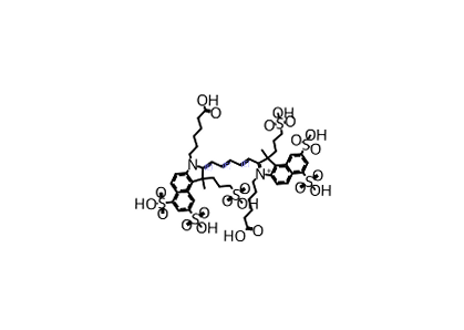 CC1(CCCS(=O)(=O)O)C(/C=C/C=C/C=C2/N(CCCCCC(=O)O)c3ccc4c(S(=O)(=O)O)cc(S(=O)(=O)O)cc4c3C2(C)CCCS(=O)(=O)O)=[N+](CCCCCC(=O)O)c2ccc3c(S(=O)(=O)O)cc(S(=O)(=O)O)cc3c21